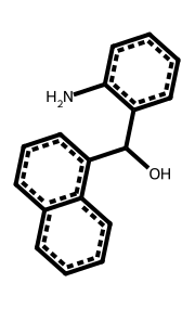 Nc1ccccc1C(O)c1cccc2ccccc12